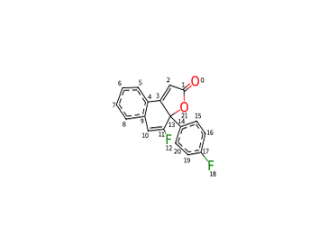 O=C1C=C2c3ccccc3C=C(F)C2(c2ccc(F)cc2)O1